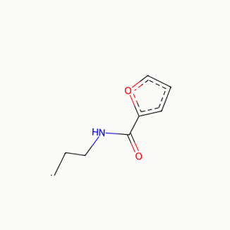 [CH2]CCNC(=O)c1ccco1